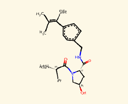 CSC(=C(C)C)c1ccc(CNC(=O)[C@@H]2C[C@@H](O)CN2C(=O)[C@@H](NC(C)=O)C(C)C)cc1